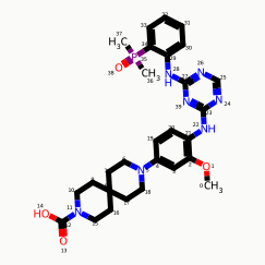 COc1cc(N2CCC3(CCN(C(=O)O)CC3)CC2)ccc1Nc1ncnc(Nc2ccccc2P(C)(C)=O)n1